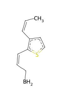 BC/C=C\c1sccc1/C=C\C